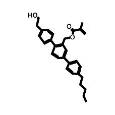 C=C(C)C(=O)OCc1cc(-c2ccc(CCCCC)cc2)ccc1-c1ccc(CCO)cc1